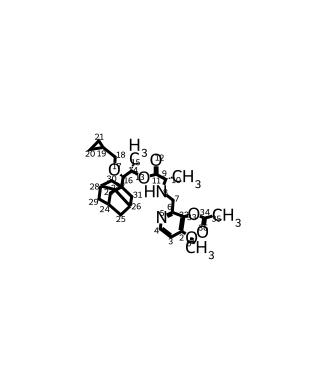 COc1ccnc(CN[C@@H](C)C(=O)O[C@@H](C)[C@H](OCC2CC2)C23CC4CC(CC(C4)C2)C3)c1OC(C)=O